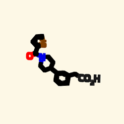 O=C(O)Cc1cccc(C2CCN(C(=O)c3cccs3)CC2)c1